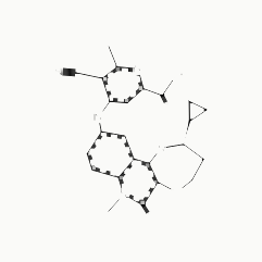 Cn1c(=O)c2c(c3cc(Nc4cc(C(=O)O)nc(Cl)c4C#N)ccc31)N[C@@H](C1CC1)CCO2